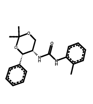 Cc1ccccc1NC(=O)N[C@H]1COC(C)(C)O[C@H]1c1ccccc1